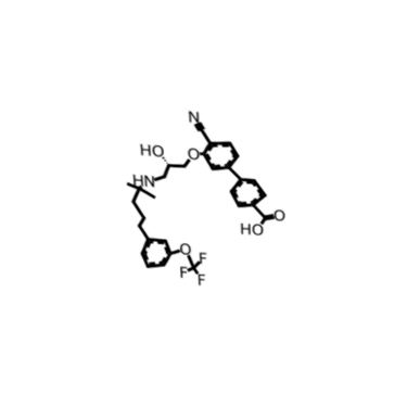 CC(C)(CCCc1cccc(OC(F)(F)F)c1)NC[C@H](O)COc1cc(-c2ccc(C(=O)O)cc2)ccc1C#N